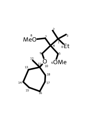 CCC(C)(C)C(COC)(COC)COC1(C)CCCCCC1